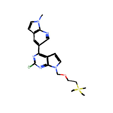 Cn1ccc2cc(-c3nc(Cl)nc4c3ccn4COCCS(C)(C)C)cnc21